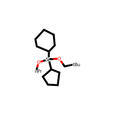 CCCO[Si](OCC(C)(C)C)(C1CCCCC1)C1CCCC1